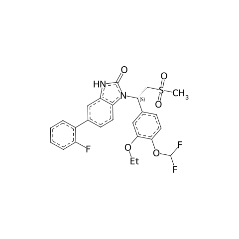 CCOc1cc([C@@H](CS(C)(=O)=O)n2c(=O)[nH]c3cc(-c4ccccc4F)ccc32)ccc1OC(F)F